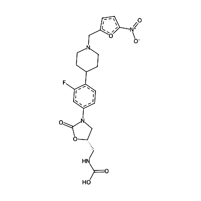 O=C(O)NC[C@H]1CN(c2ccc(C3CCN(Cc4ccc([N+](=O)[O-])o4)CC3)c(F)c2)C(=O)O1